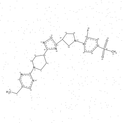 CCc1cnc(N2CCC(c3noc(C4CCN(c5ccc(S(C)(=O)=O)cc5F)C4)n3)CC2)nc1